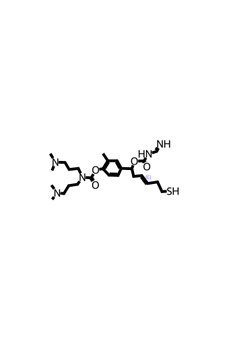 Cc1cc(C(C/C=C/CCS)OC(=O)NC=N)ccc1OC(=O)N(CCCN(C)C)CCCN(C)C